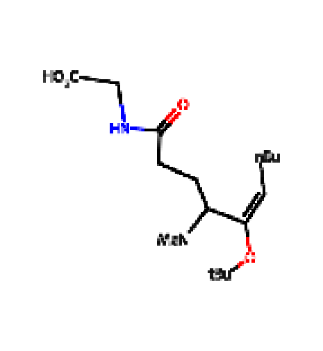 CCCC/C=C(/OC(C)(C)C)C(CCC(=O)NCC(=O)O)NC